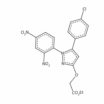 CCOC(=O)COc1cc(-c2ccc(Cl)cc2)n(-c2ccc([N+](=O)[O-])cc2[N+](=O)[O-])n1